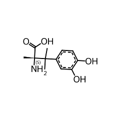 CC(C)(c1ccc(O)c(O)c1)[C@](C)(N)C(=O)O